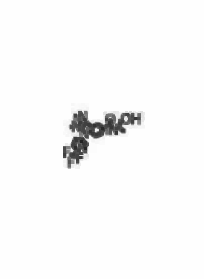 CC(CO)NC(=O)c1ccc2c(c1)c1nnn(C)c1n2-c1ccc(C(F)(F)F)nc1